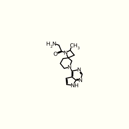 CC1CC2(CCCN(c3ncnc4[nH]ccc34)C2)N1C(=O)CN